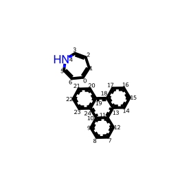 C1=CC=CNC=C1.c1ccc2c(c1)c1ccccc1c1ccccc21